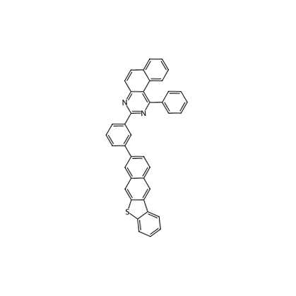 c1ccc(-c2nc(-c3cccc(-c4ccc5cc6c(cc5c4)sc4ccccc46)c3)nc3ccc4ccccc4c23)cc1